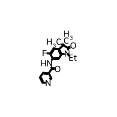 CCN1C(=O)C(C)(C)c2cc(F)c(NC(=O)c3cccnc3)cc21